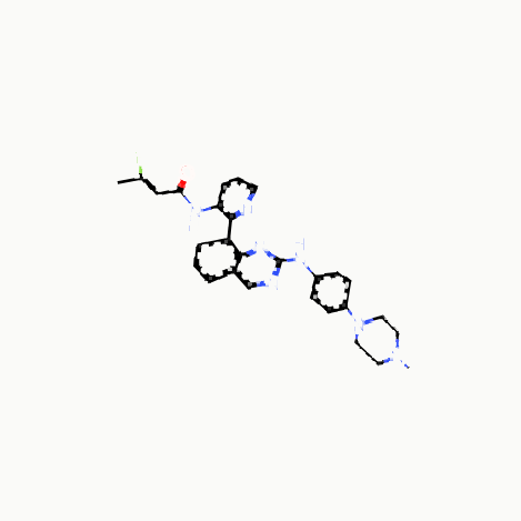 CC(F)=CC(=O)Nc1cccnc1-c1cccc2cnc(Nc3ccc(N4CCN(C)CC4)cc3)nc12